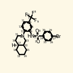 O=S(=O)(Nc1cc(C(F)(F)F)ccc1N1CC[C@@H]2CCCCC2C1)c1ccc(Br)cc1